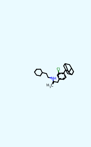 C=C(Cc1ccc(C23CC4CC(CC(C4)C2)C3)c(Cl)c1)NCCC1CCCCC1